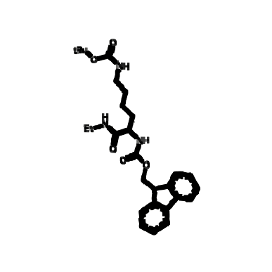 CCNC(=O)C(CCCCNC(=O)OC(C)(C)C)NC(=O)OCC1c2ccccc2-c2ccccc21